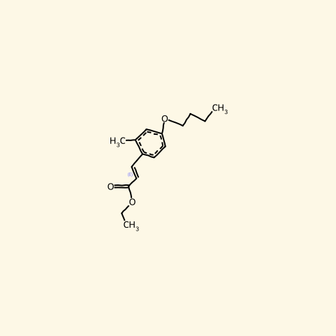 CCCCOc1ccc(/C=C/C(=O)OCC)c(C)c1